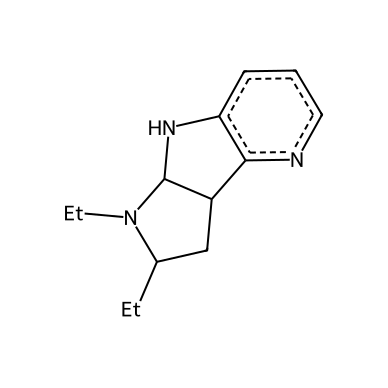 CCC1CC2c3ncccc3NC2N1CC